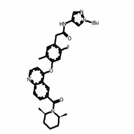 Cc1cc(CC(=O)Nc2cnn(C(C)(C)C)c2)c(F)cc1Oc1ccnc2ccc(C(=O)N3[C@H](C)CCC[C@@H]3C)cc12